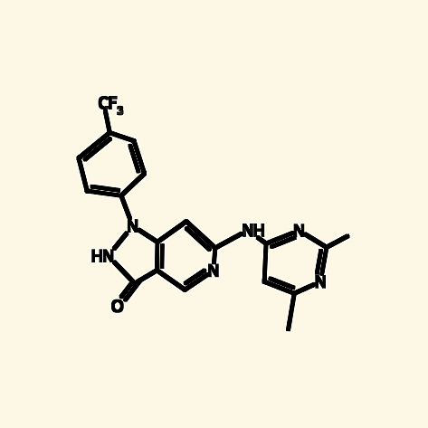 Cc1cc(Nc2cc3c(cn2)c(=O)[nH]n3-c2ccc(C(F)(F)F)cc2)nc(C)n1